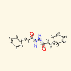 O=C(/C=C/c1ccccc1)NNC(=O)/C=C/c1ccccc1